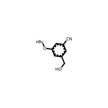 CCCCOc1cc(C#N)cc([CH]O)c1